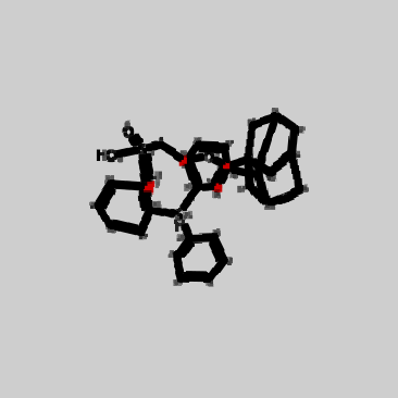 O=C(OCCS(=O)(=O)O)C12CC3CC(C1)C(c1cccc([SH](c4ccccc4)c4ccccc4)c1)C(C3)C2